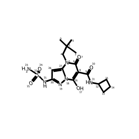 CC(C)(C)Cn1c(=O)c(C(=O)NC2CCC2)c(O)n2nc(NS(N)(=O)=O)cc12